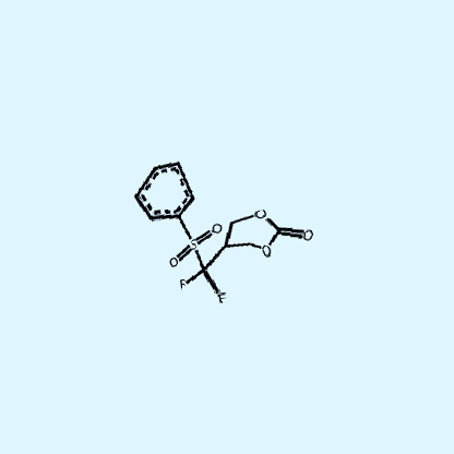 O=C1OCC(C(F)(F)S(=O)(=O)c2ccccc2)O1